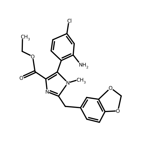 CCOC(=O)c1nc(Cc2ccc3c(c2)OCO3)n(C)c1-c1ccc(Cl)cc1N